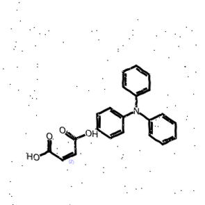 O=C(O)/C=C\C(=O)O.c1ccc(N(c2ccccc2)c2ccccc2)cc1